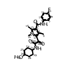 Cc1c(C(=O)Nc2ccc(F)cc2)c(C)n(C)c1C(=O)C(=O)NC1CCC(O)CC1